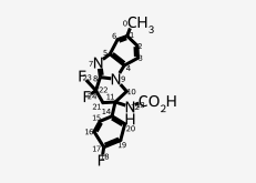 Cc1ccc2c(c1)nc1n2CC(NC(=O)O)(c2ccc(F)cc2)CC1(F)F